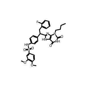 CCCCn1c(=O)[nH]c(=O)c2[nH]c(C(Cc3ccccc3F)c3ccc(NS(=O)(=O)c4ccc(OC)c(OC)c4)cc3)nc21